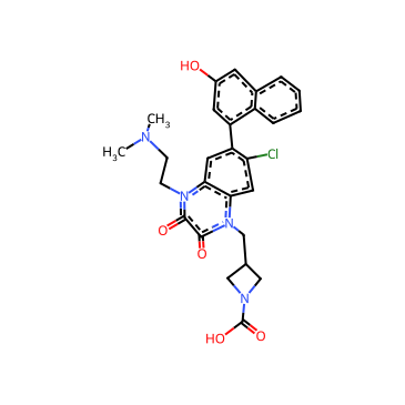 CN(C)CCn1c(=O)c(=O)n(CC2CN(C(=O)O)C2)c2cc(Cl)c(-c3cc(O)cc4ccccc34)cc21